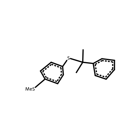 CSc1ccc(SC(C)(C)c2ccccc2)cc1